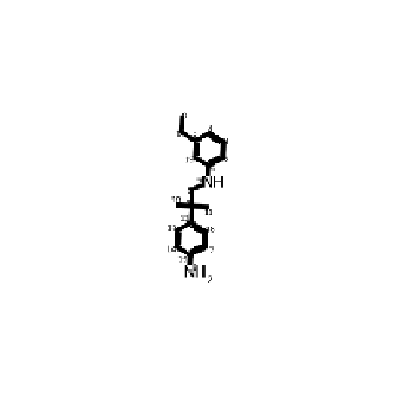 CCc1cccc(NCC(C)(C)c2ccc(N)cc2)c1